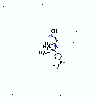 CBc1ccc(C(/N=C(C)/C=C\C=C/C)=C(/C)CC)cc1